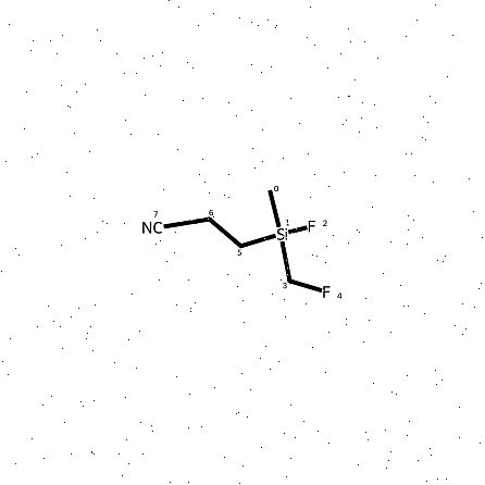 C[Si](F)(CF)CCC#N